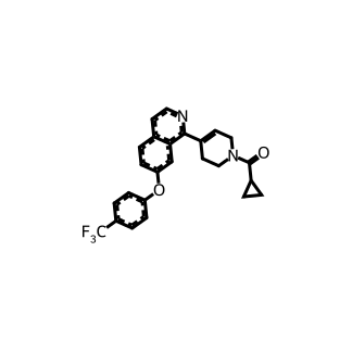 O=C(C1CC1)N1CC=C(c2nccc3ccc(Oc4ccc(C(F)(F)F)cc4)cc23)CC1